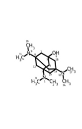 CN(C)C12CC3(O)CC(N(C)C)(C1)CC(N(C)C)(C3)C2